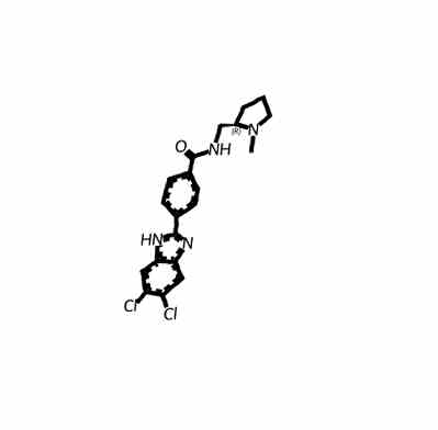 CN1CCC[C@@H]1CNC(=O)c1ccc(-c2nc3cc(Cl)c(Cl)cc3[nH]2)cc1